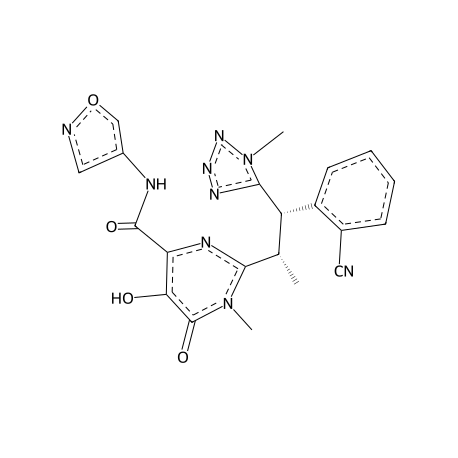 C[C@H](c1nc(C(=O)Nc2cnoc2)c(O)c(=O)n1C)[C@@H](c1ccccc1C#N)c1nnnn1C